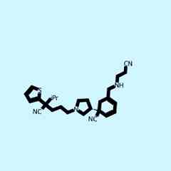 CC(C)C(C#N)(CCCN1CC[C@H](C2(C#N)C=CC=C(CNCCC#N)C2)C1)c1cccs1